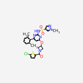 Cc1cccc(C)c1-c1cc(OC2CN(C(=O)c3ccc(Cl)s3)C2)nc(NS(=O)(=O)c2cnn(C)c2)n1